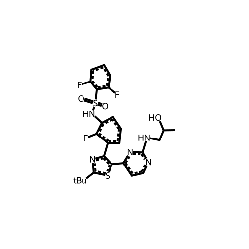 CC(O)CNc1nccc(-c2sc(C(C)(C)C)nc2-c2cccc(NS(=O)(=O)c3c(F)cccc3F)c2F)n1